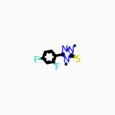 Cn1nc(-c2ccc(F)cc2F)n(C)c1=S